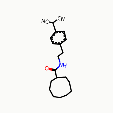 N#CC(C#N)c1ccc(CCNC(=O)C2CCCCCCCC2)cc1